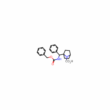 O=C(NC(c1ccccc1)C12CCC(CC1)N2C(=O)O)OCc1ccccc1